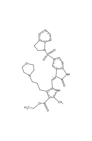 CCOC(=O)c1c(C)[nH]c(/C=C2\C(=O)Nc3ccc(S(=O)(=O)N4CCc5ccccc54)cc32)c1CCCN1CCOCC1